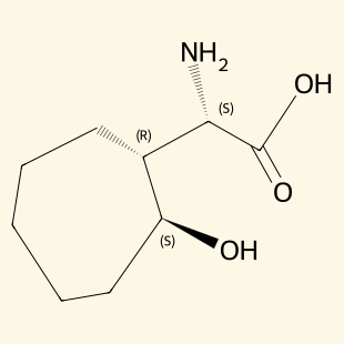 N[C@H](C(=O)O)[C@H]1CCCCC[C@@H]1O